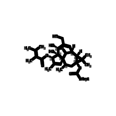 CCCCCCCC(=O)O[C@@]12C[C@@H](C)[C@]34C=C(C)[C@H](OC(=O)C(C)=C(C)C)[C@@]3(O)[C@H](O)C(CO)=C[C@H](C4O)[C@@H]1C2(C)C